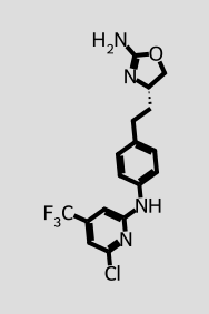 NC1=N[C@@H](CCc2ccc(Nc3cc(C(F)(F)F)cc(Cl)n3)cc2)CO1